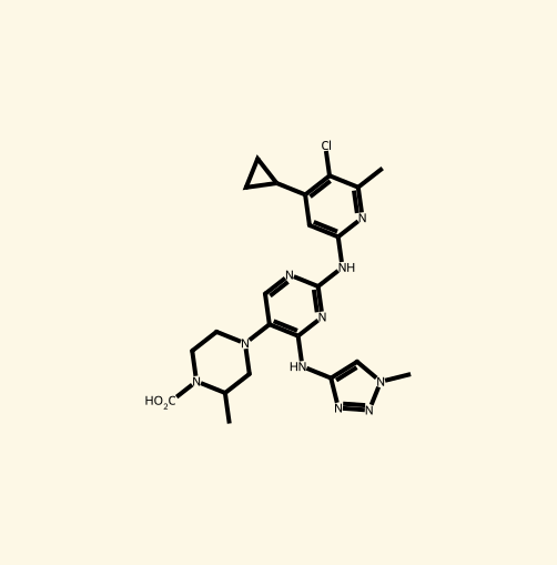 Cc1nc(Nc2ncc(N3CCN(C(=O)O)C(C)C3)c(Nc3cn(C)nn3)n2)cc(C2CC2)c1Cl